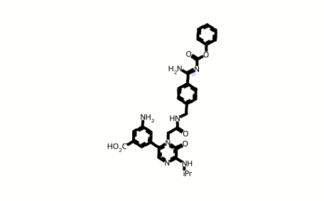 CC(C)Nc1ncc(-c2cc(N)cc(C(=O)O)c2)n(CC(=O)NCc2ccc(/C(N)=N/C(=O)Oc3ccccc3)cc2)c1=O